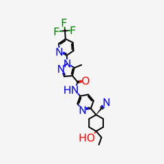 CC[C@]1(O)CC[C@](C#N)(c2ccc(NC(=O)c3cnn(-c4ccc(C(F)(F)F)cn4)c3C)cn2)CC1